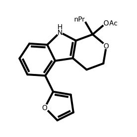 CCCC1(OC(C)=O)OCCc2c1[nH]c1cccc(-c3ccco3)c21